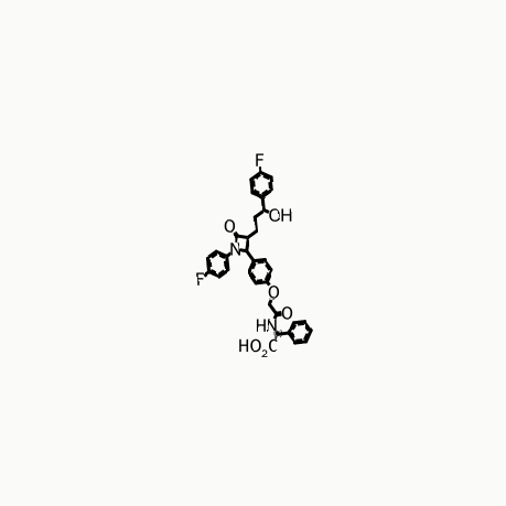 O=C(COc1ccc(C2C(CCC(O)c3ccc(F)cc3)C(=O)N2c2ccc(F)cc2)cc1)N[C@@H](C(=O)O)c1ccccc1